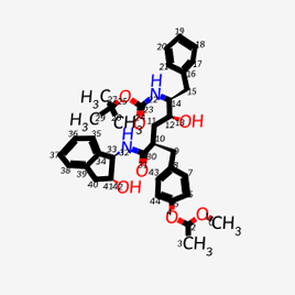 COC(C)Oc1ccc(C[C@H](C[C@H](O)[C@H](Cc2ccccc2)NC(=O)OC(C)(C)C)C(=O)N[C@H]2c3ccccc3C[C@H]2O)cc1